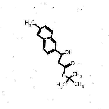 Cc1ccc2cc(C(O)CC(=O)OC(C)(C)C)ccc2c1